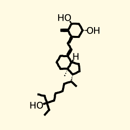 C=C1/C(=C/C=C2\CCC[C@]3(C)[C@@H](C(C)CCCCC(O)(CC)CC)CC[C@@H]23)C[C@@H](O)C[C@@H]1O